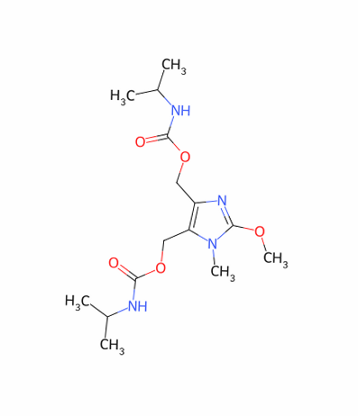 COc1nc(COC(=O)NC(C)C)c(COC(=O)NC(C)C)n1C